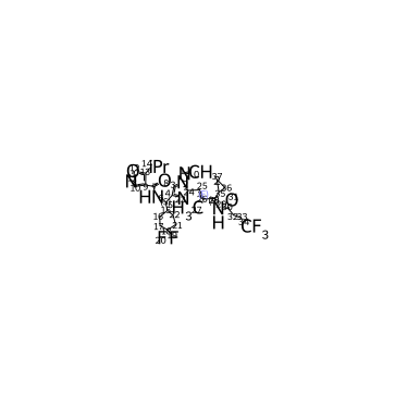 C=Nn1cc([C@@H](NC(=O)c2cnoc2C(C)C)C2CCC(F)(F)CC2)nc1/C=C(\C)[C@H](NC(=O)CCC(F)(F)F)C1CC1